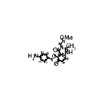 COCCN1C(=O)c2c(OCc3ccc(N)cc3)c(=O)ccn2NC1C